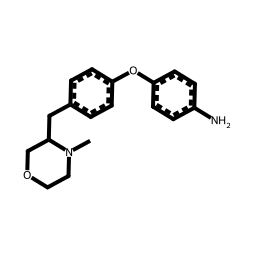 CN1CCOCC1Cc1ccc(Oc2ccc(N)cc2)cc1